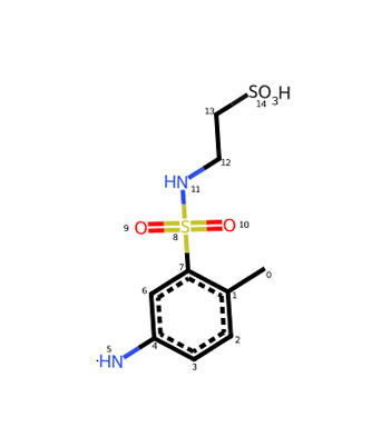 Cc1ccc([NH])cc1S(=O)(=O)NCCS(=O)(=O)O